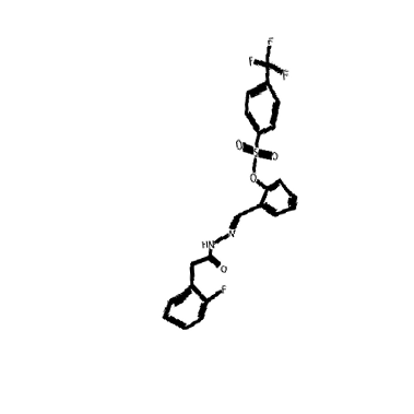 O=C(Cc1ccccc1F)NN=Cc1ccccc1OS(=O)(=O)c1ccc(C(F)(F)F)cc1